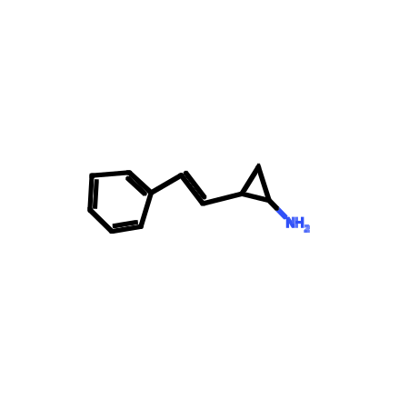 NC1CC1C=Cc1ccccc1